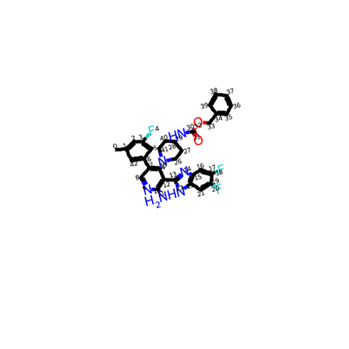 Cc1cc(F)cc(-c2cnc(N)c(-c3nc4cc(F)c(F)cc4[nH]3)c2N2CCC(NC(=O)OCc3ccccc3)CC2)c1